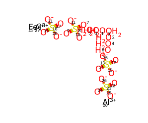 O.O.O.O.O.O.O.O=S(=O)([O-])[O-].O=S(=O)([O-])[O-].O=S(=O)([O-])[O-].O=S(=O)([O-])[O-].[Al+3].[Al+3].[Fe+2]